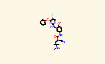 COc1ccc(NC(=O)C(C#N)=CC(C)(C)N(C)C)cc1Nc1ncc(F)c(Oc2ccccc2)n1